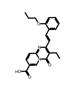 CCCOc1ccccc1C=Cc1nc2ccc(C(=O)O)cn2c(=O)c1CC